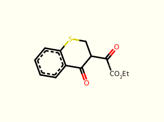 CCOC(=O)C(=O)C1CSc2ccccc2C1=O